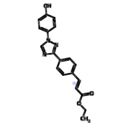 CCOC(=O)/C=C/c1ccc(-c2ncn(-c3ccc(O)cc3)n2)cc1